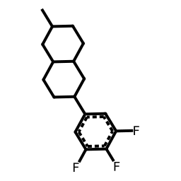 CC1CCC2CC(c3cc(F)c(F)c(F)c3)CCC2C1